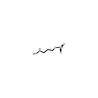 CCCNCCCO[SH](=O)=O